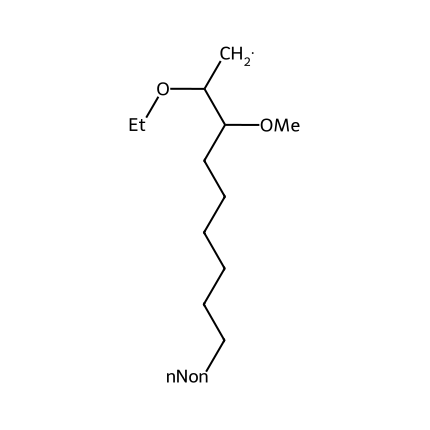 [CH2]C(OCC)C(CCCCCCCCCCCCCCC)OC